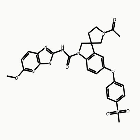 COc1ccc2nc(NC(=O)N3CC4(CCN(C(C)=O)C4)c4cc(Oc5ccc(S(C)(=O)=O)cc5)ccc43)sc2n1